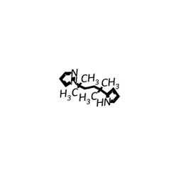 CC(C)(CCC(C)(C)n1cccn1)c1ccc[nH]1